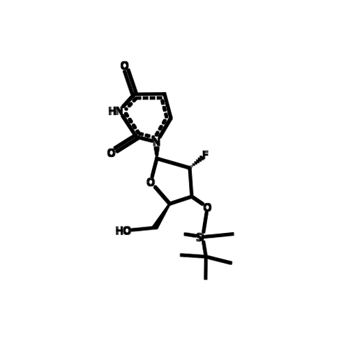 CC(C)(C)[Si](C)(C)OC1[C@@H](F)[C@H](n2ccc(=O)[nH]c2=O)O[C@@H]1CO